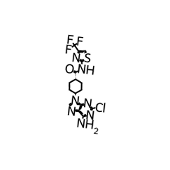 Nc1nc(Cl)nc2c1ncn2[C@H]1CC[C@@H](C(=O)Nc2nc(C(F)(F)F)cs2)CC1